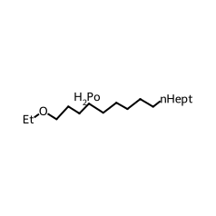 CCCCCCCCCCCCCCCCOCC.[PoH2]